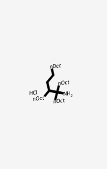 CCCCCCCCCCCCC(CCCCCCCC)C(N)(CCCCCCCC)CCCCCCCC.Cl